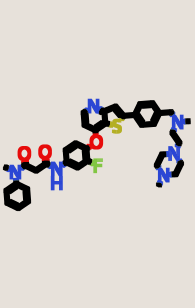 CN1CCN(CCN(C)Cc2ccc(-c3cc4nccc(Oc5ccc(NC(=O)CC(=O)N(C)c6ccccc6)cc5F)c4s3)cc2)CC1